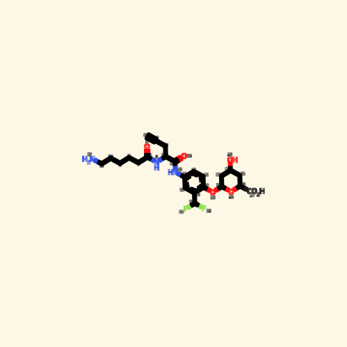 C#CCC(NC(=O)CCCCCN)C(=O)Nc1ccc(OC2CC(O)CC(C(=O)O)O2)c(C(F)F)c1